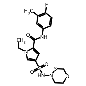 CCn1cc(S(=O)(=O)NN2CCOCS2)cc1C(=O)Nc1ccc(F)c(C)c1